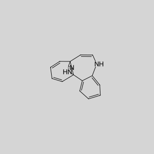 C1=CC23C=CNc4ccccc4C2(C=C1)NN=C3